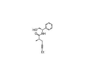 CCC#CC[C@@H](C)C(=O)N[C@@H](CO)c1ccccc1